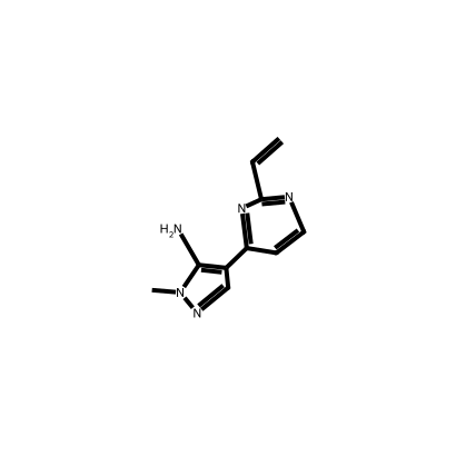 C=Cc1nccc(-c2cnn(C)c2N)n1